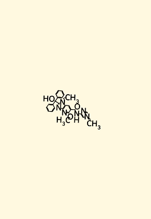 CCn1cnc(NC(=O)c2cc3c(nc2OC)nc(C(O)(c2ccccc2)c2ccccc2)n3CC)c1